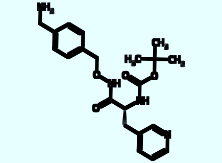 CC(C)(C)OC(=O)N[C@H](Cc1cccnc1)C(=O)NOCc1ccc(CN)cc1